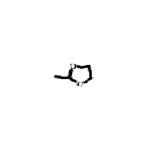 CC1O[CH]CO1